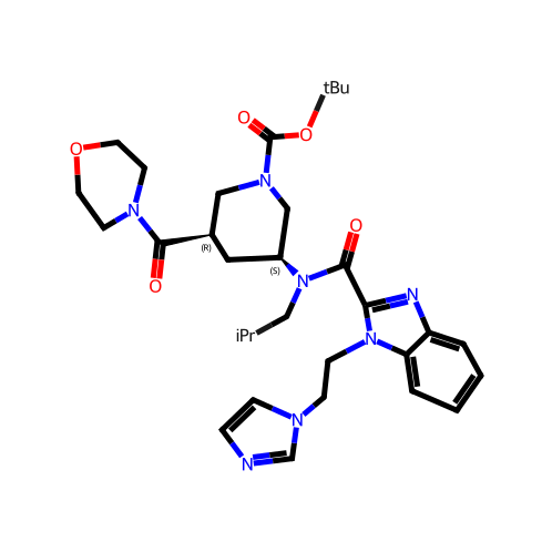 CC(C)CN(C(=O)c1nc2ccccc2n1CCn1ccnc1)[C@H]1C[C@@H](C(=O)N2CCOCC2)CN(C(=O)OC(C)(C)C)C1